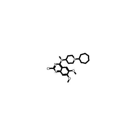 COc1cc2nc(Cl)nc(N(C)C3CCN(C4CCCCCC4)CC3)c2cc1OC